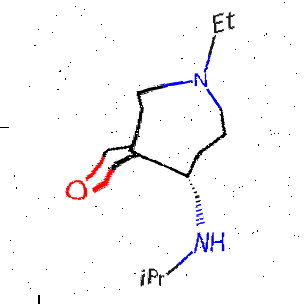 CCN1CC(=O)[C@@H](NC(C)C)C1